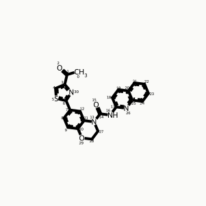 CC(=O)c1csc(-c2ccc3c(c2)N(C(=O)Nc2ccc4ccccc4n2)CCO3)n1